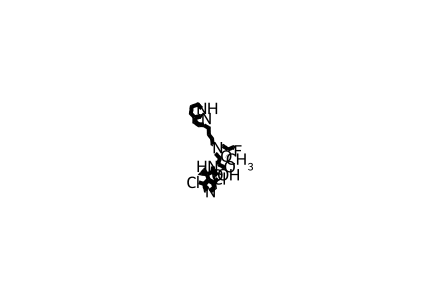 COC(CF)CN(CCCCc1ccc2c(n1)NCCC2)CCC(NC(=O)C1(c2c(Cl)cncc2Cl)CC1)C(=O)O